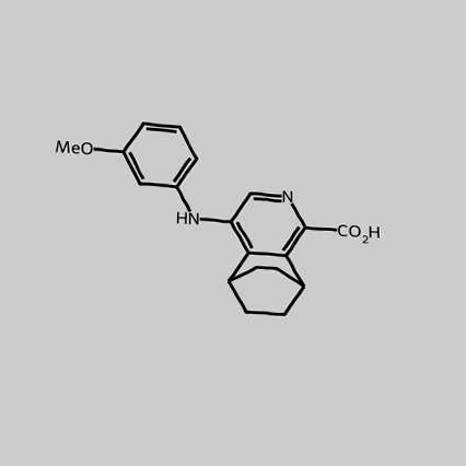 COc1cccc(Nc2cnc(C(=O)O)c3c2C2CCC3CC2)c1